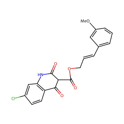 COc1cccc(C=CCOC(=O)C2C(=O)Nc3cc(Cl)ccc3C2=O)c1